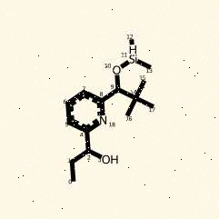 CCC(O)c1cccc(C(O[SiH](C)C)C(C)(C)C)n1